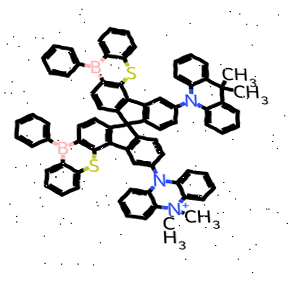 CC1(C)c2ccccc2N(c2ccc3c(c2)-c2c(ccc4c2Sc2ccccc2B4c2ccccc2)C32c3ccc(N4c5ccccc5[N+](C)(C)c5ccccc54)cc3-c3c2ccc2c3Sc3ccccc3B2c2ccccc2)c2ccccc21